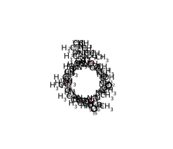 CC[C@@H](C)[C@@H](C(=O)N[C@@H]1C(=O)N(C)[C@@H]([C@@H](C)O)C(=O)N[C@@H](C(C)C)C(=O)N(C)[C@@H](CC(C)C)C(=O)N[C@@H](C(C)C)C(=O)N(C)[C@@H](C(C)C)C(=O)N(C)[C@@H](Cc2c[nH]c3cccc(OC)c23)C(=O)N[C@@H](C(C)C)C(=O)N[C@@H]([C@H](O)c2ccccc2)C(=O)N[C@@H](C(C)C)C(=O)O[C@@H]1C)N(C)C(=O)[C@@H](NC(=O)[C@H](C(C)C)N(C)C)C(C)C